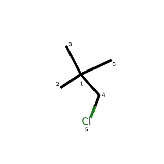 CC(C)(C)[CH]Cl